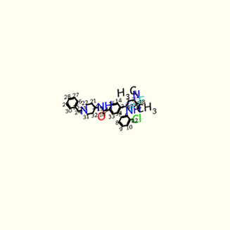 C/N=C(\C=C(/Nc1ccccc1Cl)c1ccc(C(=O)NC2CCN(Cc3ccccc3)CC2)cc1)C(C)(F)F